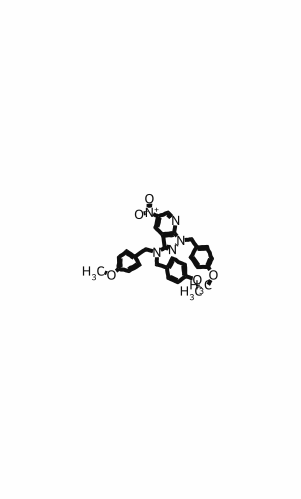 COc1ccc(CN(Cc2ccc(OC)cc2)c2nn(Cc3ccc(OC)cc3)c3ncc([N+](=O)[O-])cc23)cc1